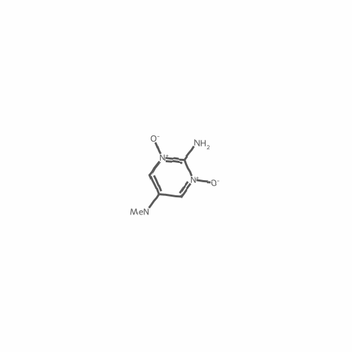 CNc1c[n+]([O-])c(N)[n+]([O-])c1